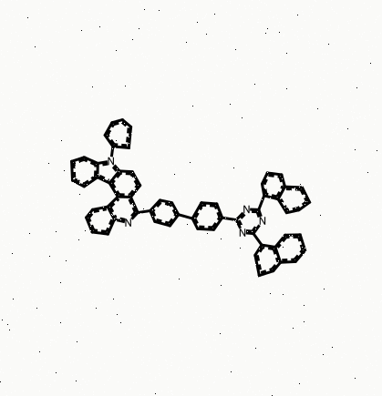 c1ccc(-n2c3ccccc3c3c4c(ccc32)c(-c2ccc(-c3ccc(-c5nc(-c6cccc7ccccc67)nc(-c6cccc7ccccc67)n5)cc3)cc2)nc2ccccc24)cc1